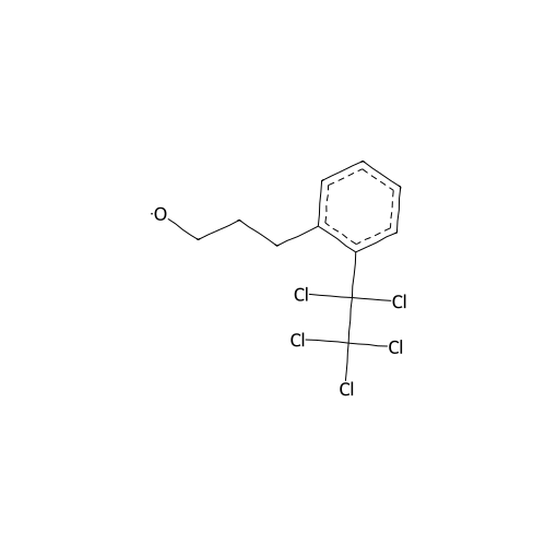 [O]CCCc1ccccc1C(Cl)(Cl)C(Cl)(Cl)Cl